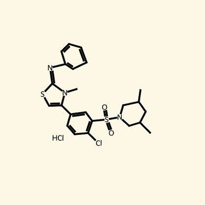 CC1CC(C)CN(S(=O)(=O)c2cc(-c3csc(=Nc4ccccc4)n3C)ccc2Cl)C1.Cl